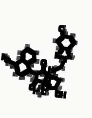 C[C@]12O[C@](CCn3nc4ccc(Cl)cc4n3)(C[C@@H]1O)[C@H]1C(=O)N(c3ccc(C#N)c4ccccc34)C(=O)[C@H]12